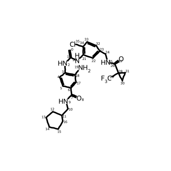 C=C(Nc1ccc(C(=O)NCC2CCCCC2)cc1N)Nc1cc(CNC(=O)C2(C(F)(F)F)CC2)ccc1Cl